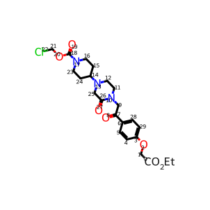 CCOC(=O)COc1ccc(C(=O)CN2CCN(C3CCN(C(=O)OCCl)CC3)CC2=O)cc1